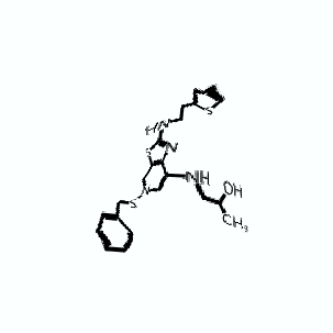 CC(O)CNC1=CN(SCc2ccccc2)Cc2sc(NCCc3cccs3)nc21